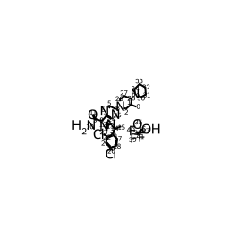 CC1CN(c2cnc3c(C(N)=O)nn(C(C)c4ccc(Cl)cc4Cl)c3n2)CCC1N1CCCCC1.O=C(O)C(F)(F)F